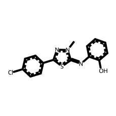 Cn1nc(-c2ccc(Cl)cc2)s/c1=N/c1ccccc1O